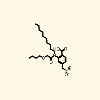 CCCCCCCCCCN(C(=O)COCCCC)c1cc(C[N+](=O)[O-])ccc1C(=O)O